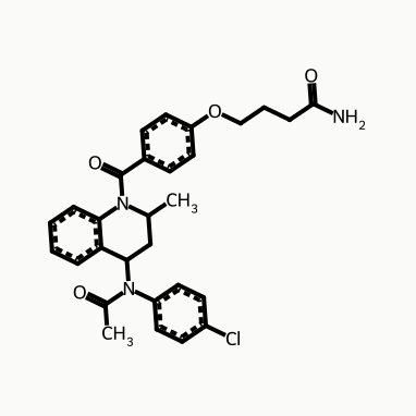 CC(=O)N(c1ccc(Cl)cc1)C1CC(C)N(C(=O)c2ccc(OCCCC(N)=O)cc2)c2ccccc21